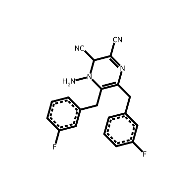 N#CC1=NC(Cc2cccc(F)c2)=C(Cc2cccc(F)c2)N(N)C1C#N